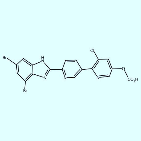 O=C(O)Oc1cnc(-c2ccc(-c3nc4c(Br)cc(Br)cc4[nH]3)nc2)c(Cl)c1